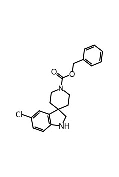 O=C(OCc1ccccc1)N1CCC2(CC1)CNc1ccc(Cl)cc12